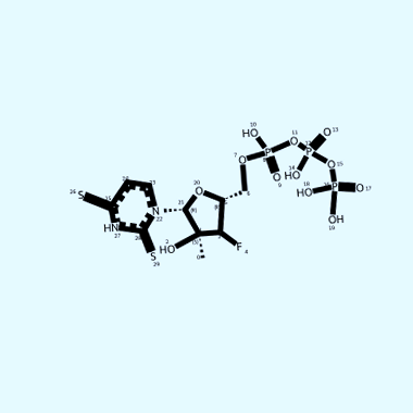 C[C@@]1(O)C(F)[C@@H](COP(=O)(O)OP(=O)(O)OP(=O)(O)O)O[C@H]1n1ccc(=S)[nH]c1=S